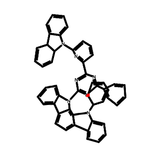 C1=CCC(n2c3ccccc3c3ccc4c5ccccc5n(-c5nc(-c6ccccc6)nc(-c6cccc(N7c8ccccc8C8C=CC=CC87)n6)n5)c4c32)C=C1